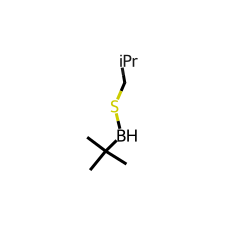 CC(C)CSBC(C)(C)C